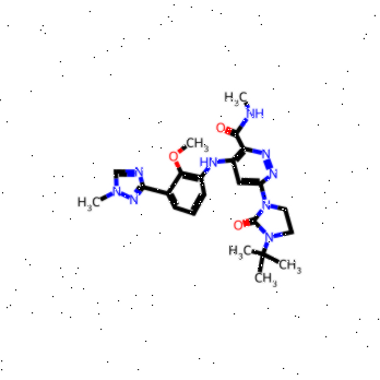 CNC(=O)c1nnc(N2CCN(C(C)(C)C)C2=O)cc1Nc1cccc(-c2ncn(C)n2)c1OC